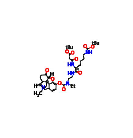 CCN(CCNC(=O)[C@H](CCCCNC(=O)OC(C)(C)C)NC(=O)CC(=O)OC(C)(C)C)C(=O)Oc1ccc2c3c1O[C@H]1C(=O)CCC4[C@@H](C2)N(C)CC[C@@]341